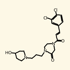 O=C(C=Cc1ccc(Cl)c(Cl)c1)N1CCN(CCCN2CCC(O)CC2)C(=O)C1